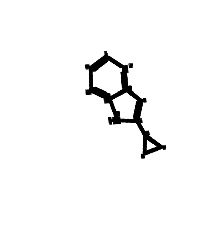 c1cnc2cc(C3CC3)[nH]c2c1